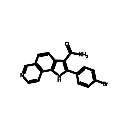 NC(=O)c1c(-c2ccc(Br)cc2)[nH]c2c1ccc1cnccc12